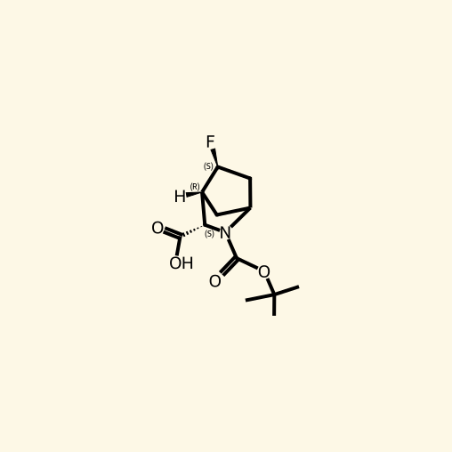 CC(C)(C)OC(=O)N1C2C[C@H]([C@H]1C(=O)O)[C@@H](F)C2